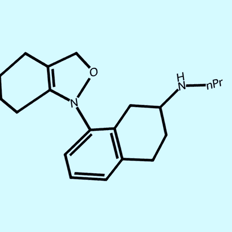 CCCNC1CCc2cccc(N3OCC4=C3CCCC4)c2C1